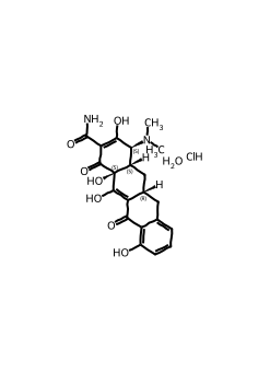 CN(C)[C@@H]1C(O)=C(C(N)=O)C(=O)[C@@]2(O)C(O)=C3C(=O)c4c(O)cccc4C[C@H]3C[C@@H]12.Cl.O